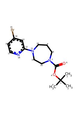 CC(C)(C)OC(=O)N1CCCN(c2cc(Br)ccn2)CC1